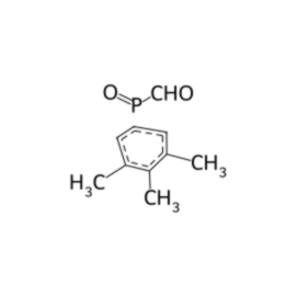 Cc1cccc(C)c1C.O=CP=O